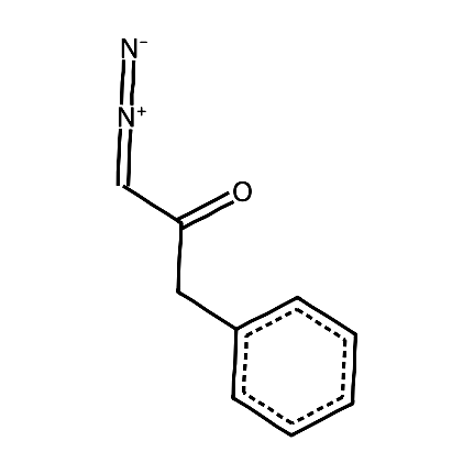 [N-]=[N+]=CC(=O)Cc1ccccc1